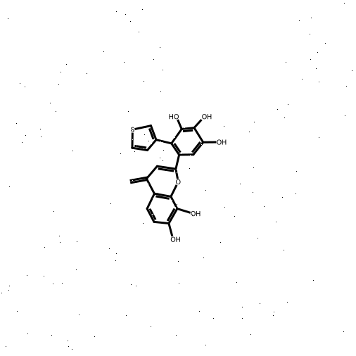 C=C1C=C(c2cc(O)c(O)c(O)c2-c2ccsc2)Oc2c1ccc(O)c2O